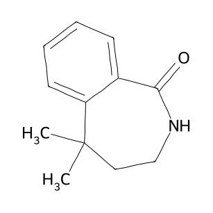 CC1(C)CCNC(=O)c2ccccc21